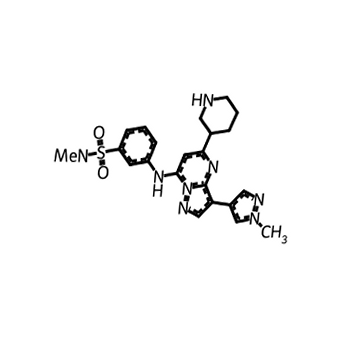 CNS(=O)(=O)c1cccc(Nc2cc(C3CCCNC3)nc3c(-c4cnn(C)c4)cnn23)c1